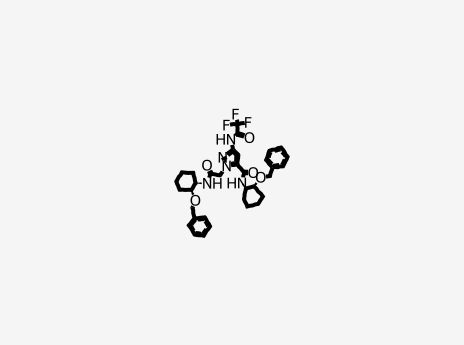 O=C(Cn1nc(NC(=O)C(F)(F)F)cc1C(=O)N[C@H]1CCCC[C@@H]1OCc1ccccc1)N[C@H]1CCCC[C@@H]1OCc1ccccc1